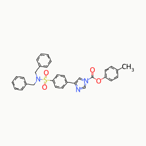 Cc1ccc(OC(=O)n2cnc(-c3ccc(S(=O)(=O)N(Cc4ccccc4)Cc4ccccc4)cc3)c2)cc1